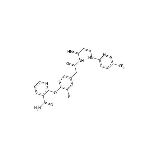 N=C(/C=C\Nc1ccc(C(F)(F)F)cn1)NC(=O)Cc1ccc(Oc2ncccc2C(N)=O)c(F)c1